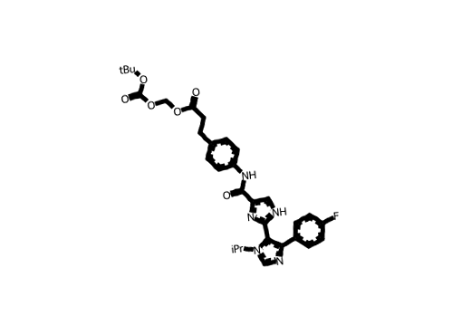 CC(C)n1cnc(-c2ccc(F)cc2)c1-c1nc(C(=O)Nc2ccc(CCC(=O)OCOC(=O)OC(C)(C)C)cc2)c[nH]1